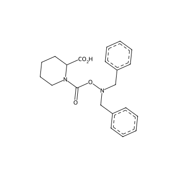 O=C(O)C1CCCCN1C(=O)ON(Cc1ccccc1)Cc1ccccc1